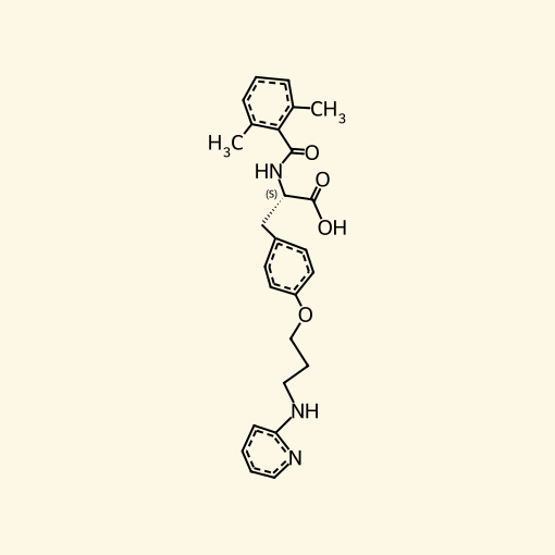 Cc1cccc(C)c1C(=O)N[C@@H](Cc1ccc(OCCCNc2ccccn2)cc1)C(=O)O